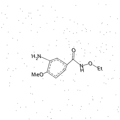 CCONC(=O)c1ccc(OC)c(N)c1